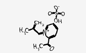 C=C(C)C[n+]1ccccc1C(C)=O.O=S(=O)([O-])O